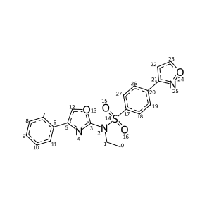 CCN(c1nc(-c2ccccc2)co1)S(=O)(=O)c1ccc(-c2ccon2)cc1